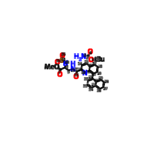 CC(C)(C)OC(N)=O.COC(=O)C(CNC(=O)c1ccc2cccc(-c3cccc4ccccc34)c2n1)N=S(=O)=O